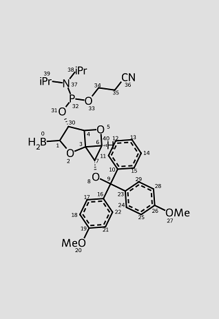 BC1OC23C(O[C@H]2[C@@H]3OC(c2ccccc2)(c2ccc(OC)cc2)c2ccc(OC)cc2)[C@H]1OP(OCCC#N)N(C(C)C)C(C)C